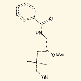 COC(CNC(=O)c1ccccc1)CC(C)(C)CO